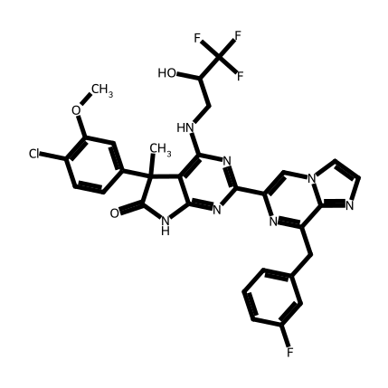 COc1cc(C2(C)C(=O)Nc3nc(-c4cn5ccnc5c(Cc5cccc(F)c5)n4)nc(NCC(O)C(F)(F)F)c32)ccc1Cl